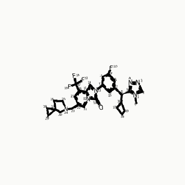 Cn1cnnc1[C@H](c1cc(F)cc(-n2cc3c(C(F)(F)F)cc(CN4CCC5(CC5)C4)cn3c2=O)c1)C1CCC1